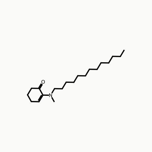 CCCCCCCCCCCCCN(C)C1=CCCCC1=O